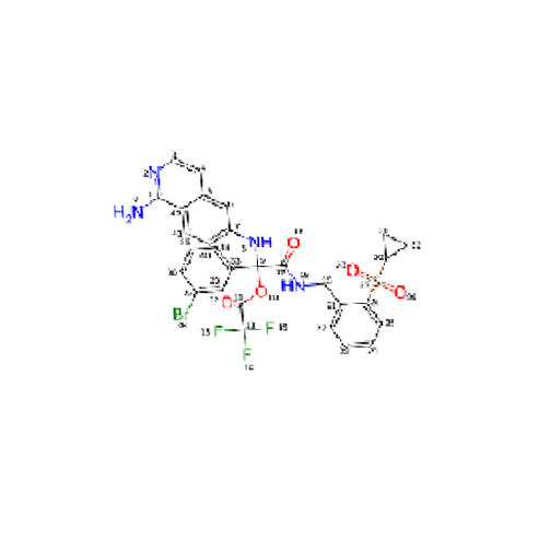 Nc1nccc2cc(NC(OC(=O)C(F)(F)F)(C(=O)NCc3ccccc3S(=O)(=O)C3CC3)c3cccc(Br)c3)ccc12